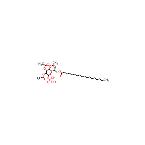 CCCCCCCCCCCCCCCCCC(=O)OC[C@H](F)C1OC(OP(=O)(O)O)C(OC(C)=O)C(OC(C)=O)C1OC(C)=O